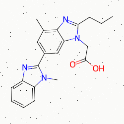 CCCc1nc2c(C)cc(-c3nc4ccccc4n3C)cc2n1CC(=O)O